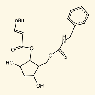 CCCCC=CC(=O)OC1C(O)CC(O)C1COC(=S)NCc1ccccc1